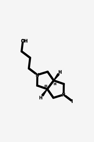 OCCCN1C[C@H]2CN(I)C[C@H]2C1